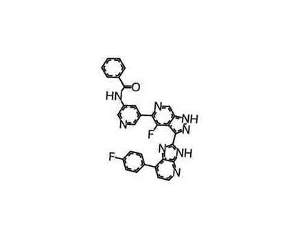 O=C(Nc1cncc(-c2ncc3[nH]nc(-c4nc5c(-c6ccc(F)cc6)ccnc5[nH]4)c3c2F)c1)c1ccccc1